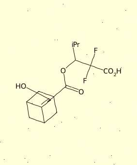 CC(C)C(OC(=O)C12CC(O)=C3C(CC3C1)C2)C(F)(F)C(=O)O